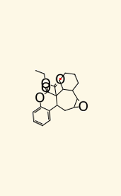 CCOC(=O)C12C(=O)Oc3ccccc3C1CC1OC1C1CCCCC12